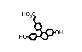 O=C(O)/C=C/c1ccc(C2=C(c3ccc(O)cc3)CCc3cc(O)ccc32)cc1